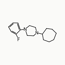 Fc1ccccc1N1CCN(C2CCCCCC2)CC1